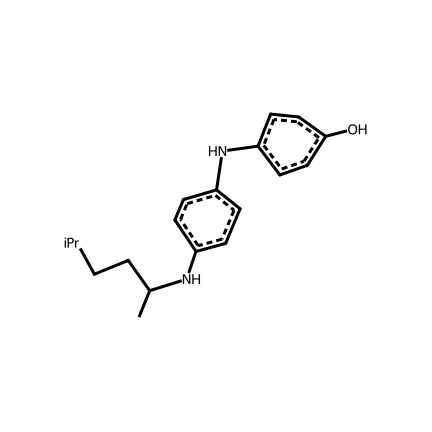 CC(C)CCC(C)Nc1ccc(Nc2ccc(O)cc2)cc1